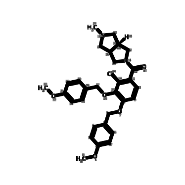 COc1ccc(COc2ccc(C(=O)N3CC4CN(C)C[C@@H]4C3)c(Cl)c2OCc2ccc(OC)cc2)cc1